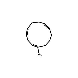 CC(=O)/C1=C/C/C=C\CC/C=C\CCC1